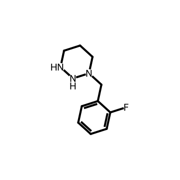 Fc1ccccc1CN1CCCNN1